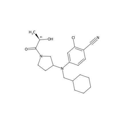 C[C@@H](O)C(=O)N1CCC(N(CC2CCCCC2)c2ccc(C#N)c(Cl)c2)C1